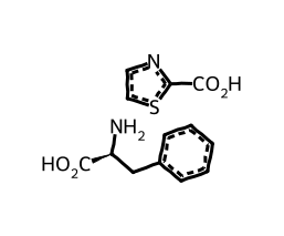 N[C@@H](Cc1ccccc1)C(=O)O.O=C(O)c1nccs1